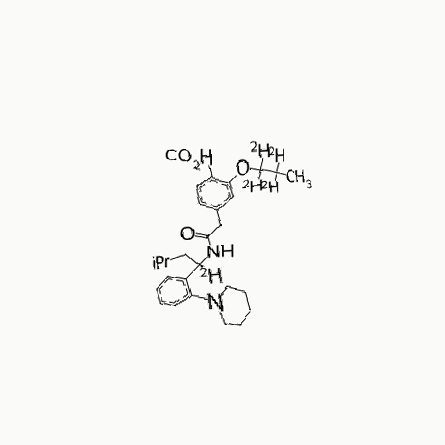 [2H]C([2H])(C)C([2H])([2H])Oc1cc(CC(=O)N[C@@]([2H])(CC(C)C)c2ccccc2N2CCCCC2)ccc1C(=O)O